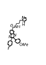 COc1ccc(-c2nc3cc(C(=O)NCCCc4ncc[nH]4)ccc3nc2-c2ccc(F)cc2)cc1